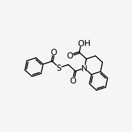 O=C(SCC(=O)N1c2ccccc2CCC1C(=O)O)c1ccccc1